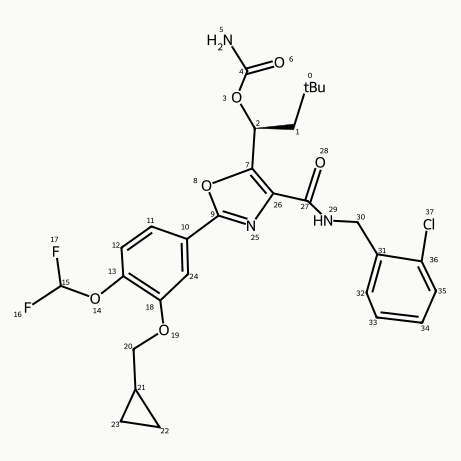 CC(C)(C)C[C@H](OC(N)=O)c1oc(-c2ccc(OC(F)F)c(OCC3CC3)c2)nc1C(=O)NCc1ccccc1Cl